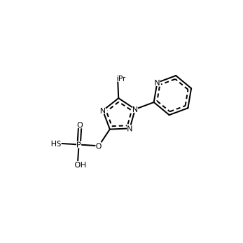 CC(C)c1nc(OP(=O)(O)S)nn1-c1ccccn1